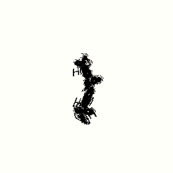 COC(=O)N[C@H](C(=O)N1CCC[C@H]1c1cc2ccc([C@H]3CC[C@H](c4ccc5cc([C@@H]6CCCN6C(=O)[CH]C(C)C)[nH]c5c4)N3c3ccc(C(C)(C)C)cc3)cc2[nH]1)C(C)C